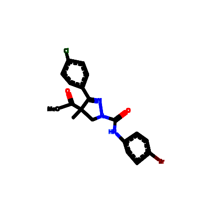 COC(=O)C1(C)CN(C(=O)Nc2ccc(Br)cc2)N=C1c1ccc(Cl)cc1